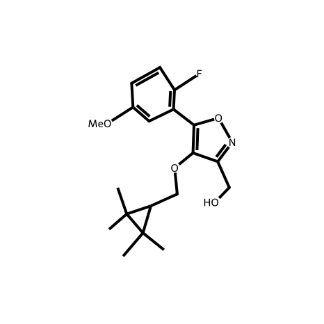 COc1ccc(F)c(-c2onc(CO)c2OCC2C(C)(C)C2(C)C)c1